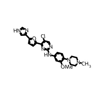 COc1cc(Nc2ncc(Cl)c(-c3ccc(-c4c[nH]cn4)o3)n2)ccc1N1CCN(C)CC1